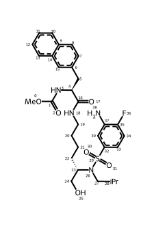 COC(=O)N[C@@H](Cc1ccc2ccccc2c1)C(=O)NCCCC[C@@H](CO)N(CC(C)C)S(=O)(=O)c1ccc(F)c(N)c1